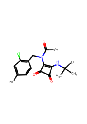 CCCC(=O)N(Cc1ccc(C#N)cc1Cl)c1c(NC(C)(C)CC)c(=O)c1=O